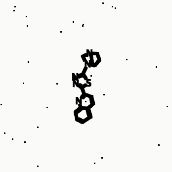 c1ccc2nc(-c3nnc(N4CCN5CCC4CC5)s3)ccc2c1